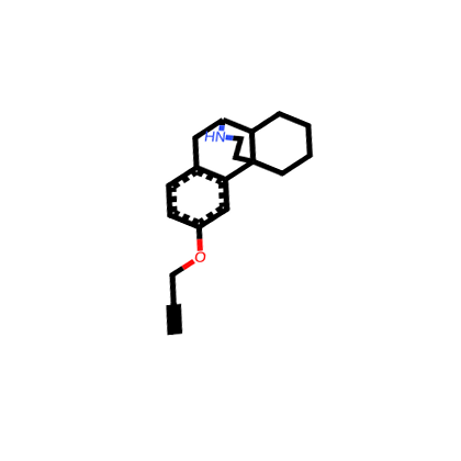 C#CCOc1ccc2c(c1)C13CCCCC1C(C2)NCC3